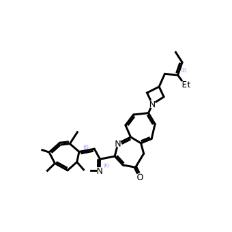 C/C=C(/CC)CC1CN(C2=CC=C3CC(=O)C=C(C(/C=C4/C(C)=C=C(C)C(C)=CC4C)=N/C)N=C3C=C2)C1